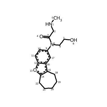 CNCC(=O)N(CCO)c1ccc2oc3c(c2c1)CCCCC3